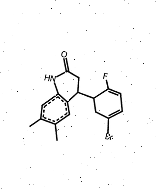 Cc1cc2c(cc1C)C(C1CC(Br)=CC=C1F)CC(=O)N2